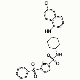 O=S(=O)(N[C@H]1CC[C@@H](Nc2ccnc3cc(Cl)ccc23)CC1)c1ccc(S(=O)(=O)c2ccccc2)s1